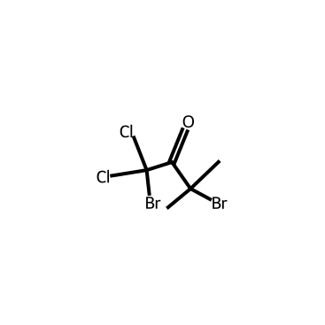 CC(C)(Br)C(=O)C(Cl)(Cl)Br